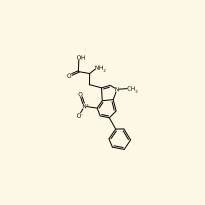 Cn1cc(CC(N)C(=O)O)c2c([N+](=O)[O-])cc(-c3ccccc3)cc21